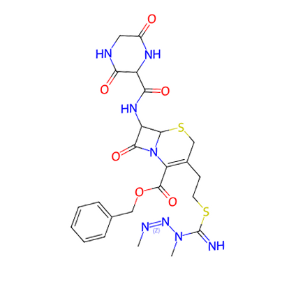 C/N=N\N(C)C(=N)SCCC1=C(C(=O)OCc2ccccc2)N2C(=O)C(NC(=O)C3NC(=O)CNC3=O)C2SC1